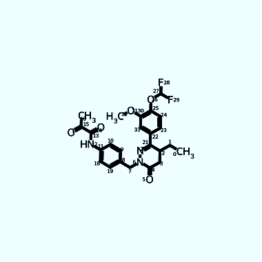 CCC1CC(=O)N(Cc2ccc(NC(=O)C(C)=O)cc2)N=C1c1ccc(OC(F)F)c(OC)c1